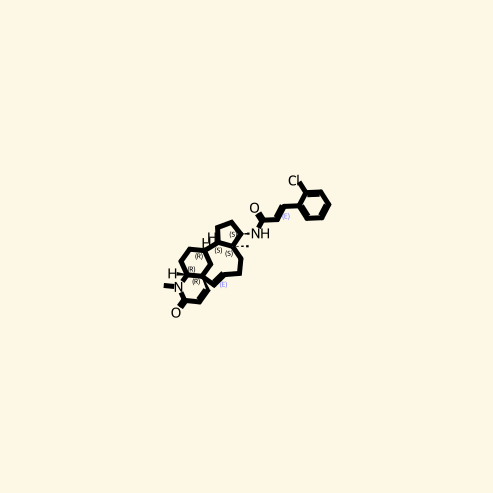 CN1C(=O)C=C[C@@]23/C=C/CC[C@]4(C)[C@@H](NC(=O)/C=C/c5ccccc5Cl)CC[C@H]4[C@H](CC[C@@H]12)C3